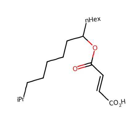 CCCCCCC(CCCCCC(C)C)OC(=O)C=CC(=O)O